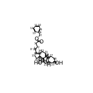 C[C@H](CCC(=O)OCc1ccccc1)[C@H]1CC[C@H]2[C@@H]3[C@@H](O)C[C@@H]4C[C@H](O)CC[C@]4(C)[C@H]3CC[C@]12C